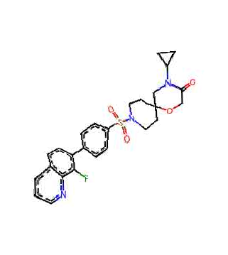 O=C1COC2(CCN(S(=O)(=O)c3ccc(-c4ccc5cccnc5c4F)cc3)CC2)CN1C1CC1